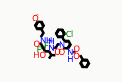 COc1ccc(CCNC(=O)C(F)(F)C(O)C(NC(=O)Cn2c(-c3ccccc3Cl)ccc(NC(=O)OCc3ccccc3)c2=O)C(C)C)cc1